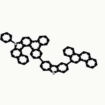 c1ccc(-n2c3ccc4ccccc4c3c3c4c(ccc32)c2ccccc2c2cc(-c3ccc5sc6ccc(-c7cc8c9ccccc9ccc8c8ccccc78)cc6c5c3)ccc24)cc1